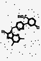 CCOC(=O)c1ccc(Cl)cc1-c1ccc(Cn2c(CC)nc3c(C)cc(C)nc32)nn1